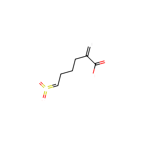 C=C(CCCC=S(=O)=O)C(=O)O